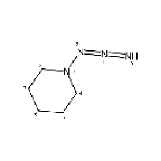 N=[N+]=NN1CCCCC1